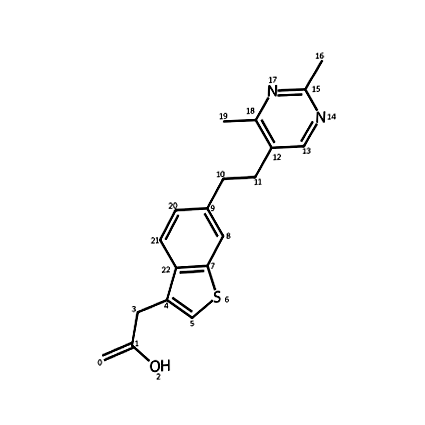 C=C(O)Cc1csc2cc(CCc3cnc(C)nc3C)ccc12